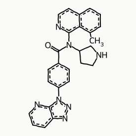 Cc1cccc2ccnc(N(C(=O)c3ccc(-n4nnc5cccnc54)cc3)C3CCNC3)c12